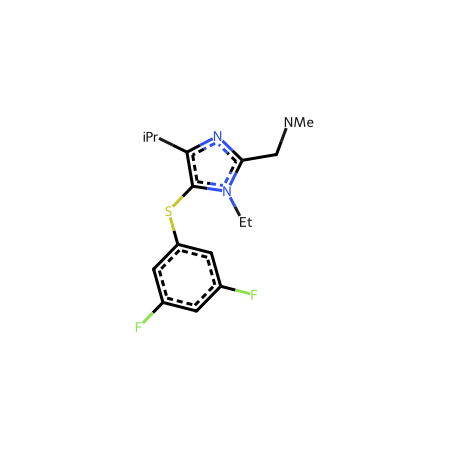 CCn1c(CNC)nc(C(C)C)c1Sc1cc(F)cc(F)c1